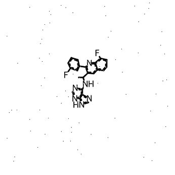 CC(Nc1ncnc2[nH]cnc12)c1cc2cccc(F)c2nc1-c1cccc(F)c1